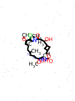 COc1cc2cc(c1Cl)N(C)C(=O)CC(O)C1(C)CC(C1)[C@@H]1C[C@@](O)(NC(=O)O1)C(OC)/C=C/C=C(\C)C2